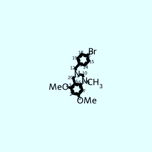 COc1cc(OC)c2c(c1)N(C)CN(Cc1ccc(Br)cc1)C2